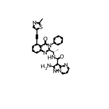 Cc1ncc(C#Cc2cccc3nc([C@H](C)NC(=O)c4c(N)nn5cccnc45)n(-c4ccccc4)c(=O)c23)s1